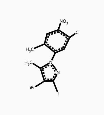 Cc1cc([N+](=O)[O-])c(Cl)cc1-n1nc(I)c(C(C)C)c1C